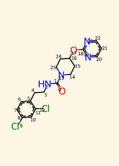 O=C(NCCc1ccc(Cl)cc1Cl)N1CCC(Oc2ncccn2)CC1